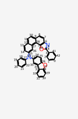 c1ccc(-c2nc3ccc4ccc5ccc(N(c6ccccc6)c6ccc7oc8ccccc8c7c6)cc5c4c3o2)cc1